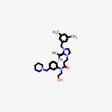 Cc1cc(C)cc(CN2CCN(CCC(=O)N(CCO)c3cccc(CN4CCCCC4)c3)C2=C(C#N)C#N)c1